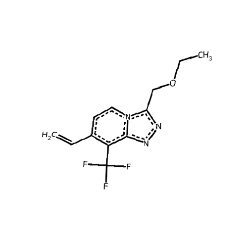 C=Cc1ccn2c(COCC)nnc2c1C(F)(F)F